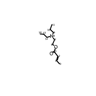 C/C=C/C(=O)OCCN(CCC)CCC